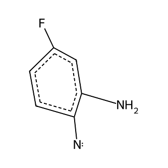 [N]c1ccc(F)cc1N